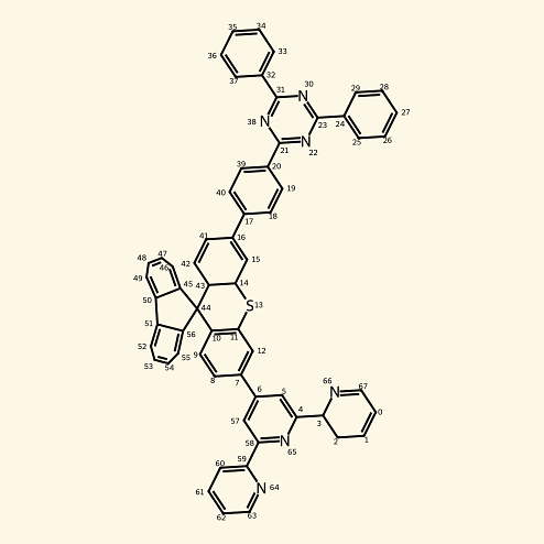 C1=CCC(c2cc(-c3ccc4c(c3)SC3C=C(c5ccc(-c6nc(-c7ccccc7)nc(-c7ccccc7)n6)cc5)C=CC3C43c4ccccc4-c4ccccc43)cc(-c3ccccn3)n2)N=C1